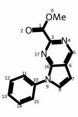 COC(=O)c1ncc2ccn(-c3ccccc3)c2n1